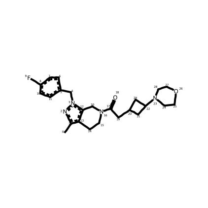 Cc1nn(Cc2ccc(F)cc2)c2c1CCN(C(=O)CC1CC(N3CCOCC3)C1)C2